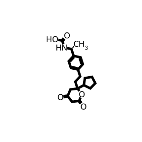 C[C@@H](NC(=O)O)c1ccc(CCC2(C3CCCC3)CC(=O)CC(=O)O2)cc1